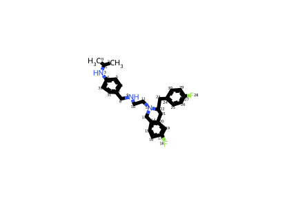 CC(C)Nc1ccc(CNCCN2Cc3ccc(F)cc3CC2Cc2ccc(F)cc2)cc1